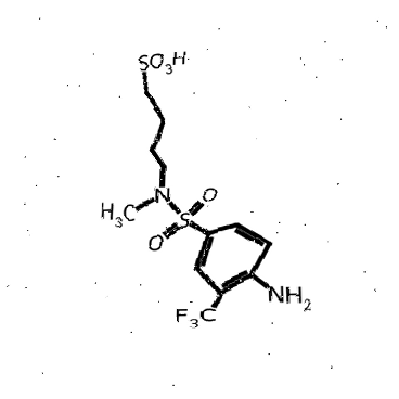 CN(CCCCS(=O)(=O)O)S(=O)(=O)c1ccc(N)c(C(F)(F)F)c1